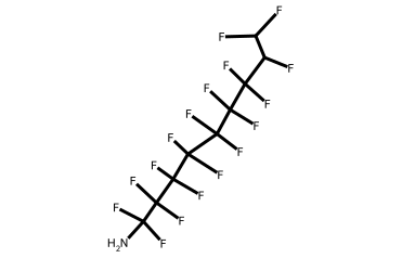 NC(F)(F)C(F)(F)C(F)(F)C(F)(F)C(F)(F)C(F)(F)C(F)(F)C(F)C(F)F